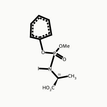 COP(=O)(Oc1ccccc1)N(I)[C@@H](C)C(=O)O